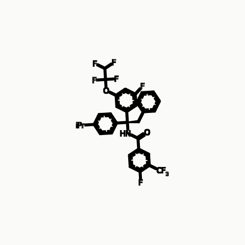 CC(C)c1ccc([C@@](Cc2ccccc2)(NC(=O)c2ccc(F)c(C(F)(F)F)c2)c2cc(F)cc(OC(F)(F)C(F)F)c2)cc1